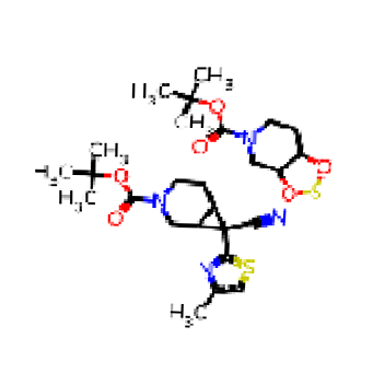 CC(C)(C)OC(=O)N1CCC2OSOC2C1.Cc1csc(C2(C#N)C3CCN(C(=O)OC(C)(C)C)CC32)n1